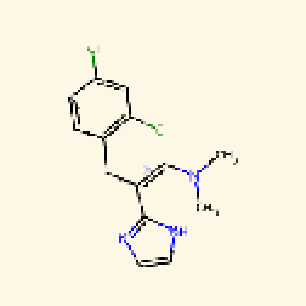 CN(C)/C=C(/Cc1ccc(Cl)cc1Cl)c1ncc[nH]1